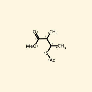 COC(=O)C(C)C(C)SC(C)=O